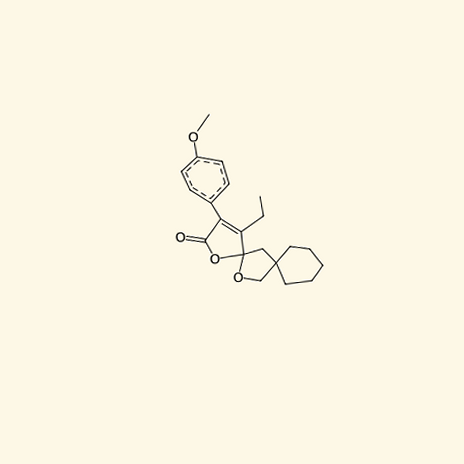 CCC1=C(c2ccc(OC)cc2)C(=O)OC12CC1(CCCCC1)CO2